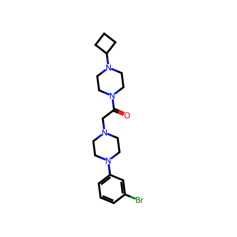 O=C(CN1CCN(c2cccc(Br)c2)CC1)N1CCN(C2CCC2)CC1